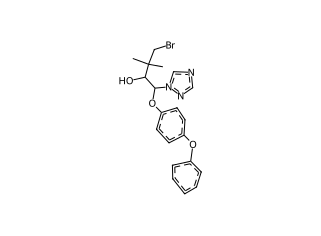 CC(C)(CBr)C(O)C(Oc1ccc(Oc2ccccc2)cc1)n1cncn1